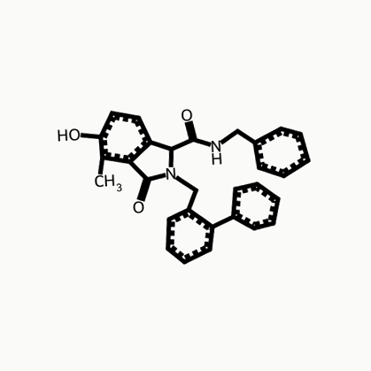 Cc1c(O)ccc2c1C(=O)N(Cc1ccccc1-c1ccccc1)C2C(=O)NCc1ccccc1